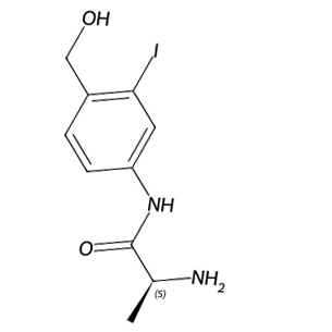 C[C@H](N)C(=O)Nc1ccc(CO)c(I)c1